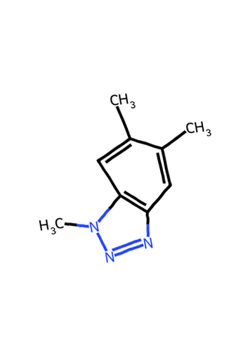 Cc1cc2nnn(C)c2cc1C